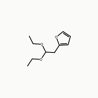 CCOC(Cc1ccco1)OCC